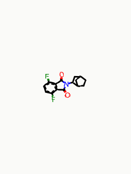 O=C1c2c(F)ccc(F)c2C(=O)N1C1CC2CCC1C2